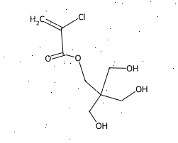 C=C(Cl)C(=O)OCC(CO)(CO)CO